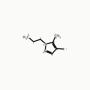 CCCn1ncc(I)c1C